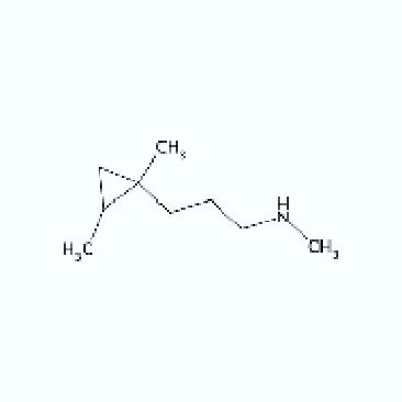 CNCCCC1(C)CC1C